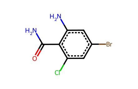 NC(=O)c1c(N)cc(Br)cc1Cl